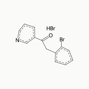 Br.O=C(Cc1ccccc1Br)c1cccnc1